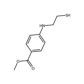 COC(=O)c1ccc(NCCS)cc1